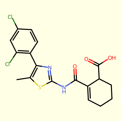 Cc1sc(NC(=O)C2=CCCCC2C(=O)O)nc1-c1ccc(Cl)cc1Cl